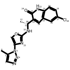 Cc1cnnn1-c1coc(N[C@H](C)c2cc3cc(Cl)ccc3[nH]c2=O)n1